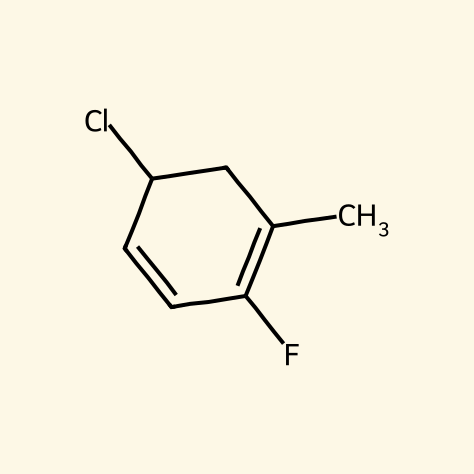 CC1=C(F)C=CC(Cl)C1